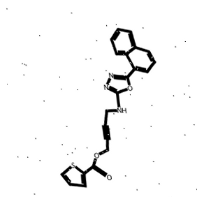 O=C(OCC#CCNc1nnc(-c2cccc3ccccc23)o1)c1cccs1